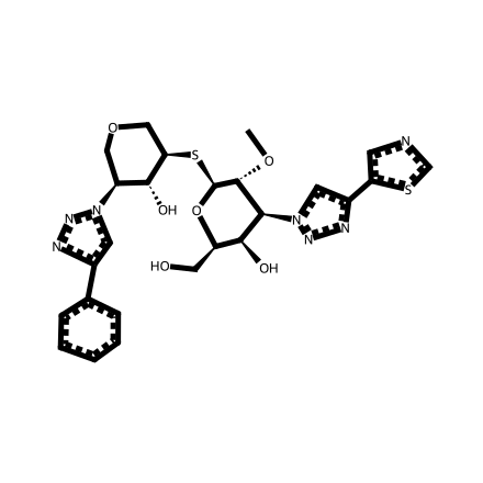 CO[C@@H]1[C@@H](n2cc(-c3cncs3)nn2)[C@@H](O)[C@@H](CO)O[C@H]1S[C@@H]1COC[C@H](n2cc(-c3ccccc3)nn2)[C@H]1O